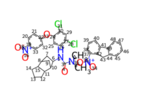 CN(C)C(=O)NC1CC2CC1C1CCCC21.O=[N+]([O-])c1ccc(Oc2ccc(Cl)cc2Cl)cc1.O=[N+]([O-])c1cccc2c1Cc1ccccc1-2